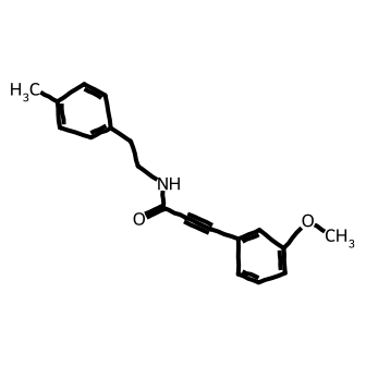 COc1cccc(C#CC(=O)NCCc2ccc(C)cc2)c1